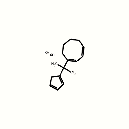 CC(C)(C1=CC=CC1)/C1=C/C=C\CCCC1.[KH].[KH]